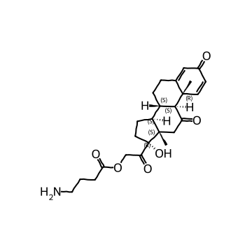 C[C@]12C=CC(=O)C=C1CC[C@@H]1[C@@H]2C(=O)C[C@@]2(C)[C@H]1CC[C@]2(O)C(=O)COC(=O)CCCN